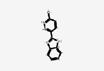 Oc1ccc(-c2nc3ccccc3[nH]2)nn1